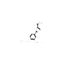 COc1ccc(-c2nc(C(N)=O)co2)cc1OC.Cl